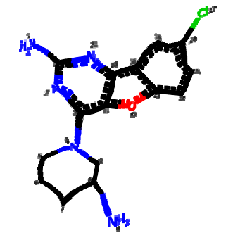 Nc1nc(N2CCCC(N)C2)c2oc3ccc(Cl)cc3c2n1